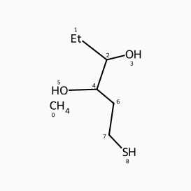 C.CCC(O)C(O)CCS